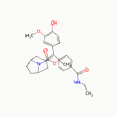 CCNC(=O)c1ccc(C(=C2CC3CCC(C2)N3C(=O)OCC)c2ccc(O)c(OC)c2)cc1